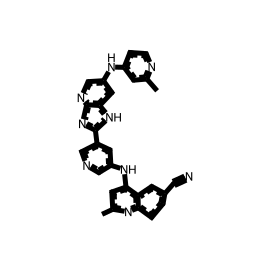 Cc1cc(Nc2cnc3nc(-c4cncc(Nc5cc(C)nc6ccc(C#N)cc56)c4)[nH]c3c2)ccn1